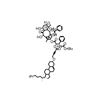 CC(=O)O[C@@]12CO[C@@H]1C[C@H](O)[C@@]1(C)C(=O)[C@H](O)C3=C(C)[C@@H](OC(=O)[C@H](OC(=O)C#CCO[C@H]4CC[C@@]5(C)C(=CCC6C5CC[C@@]5(C)C6CC[C@@H]5[C@H](C)CCCC(C)C)C4)[C@@H](NC(=O)OC(C)(C)C)c4ccccc4)C[C@@](O)([C@@H](OC(=O)c4ccccc4)[C@H]21)C3(C)C